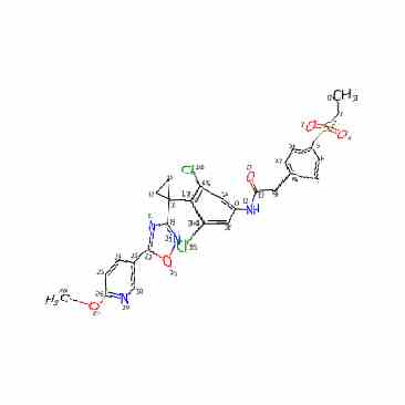 CCS(=O)(=O)c1ccc(CC(=O)Nc2cc(Cl)c(C3(c4noc(-c5ccc(OC)nc5)n4)CC3)c(Cl)c2)cc1